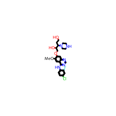 COc1cc2c(Nc3ccc(Cl)cc3F)ncnc2cc1OCC(O)C(CCO)N1CCNCC1